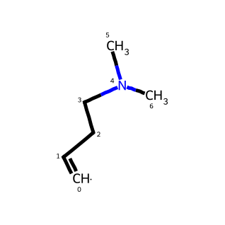 [CH]=CCCN(C)C